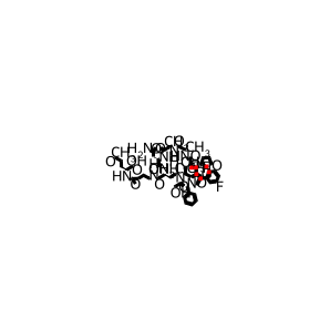 CC(=O)CC[C@H](NC1OC1CCNC(=O)[C@H](CCN(C(=O)CO)[C@@H](c1cc(-c2cc(F)ccc2F)cn1Cc1ccccc1)C(C)(C)C)NC(=O)[C@H](CC(N)=O)NC(=O)[C@@H](C)NC(=O)[C@H](C)NC(=O)CCCC(=O)ON1C(=O)CCC1=O)C(=O)O